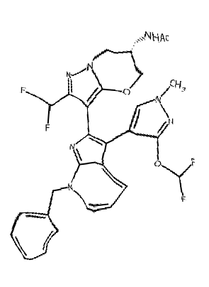 CC(=O)N[C@@H]1COc2c(-c3nc4n(Cc5ccccc5)cccc-4c3-c3cn(C)nc3OC(F)F)c(C(F)F)nn2C1